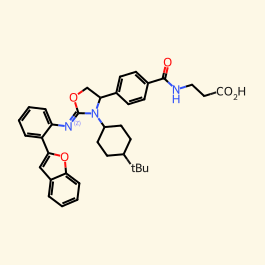 CC(C)(C)C1CCC(N2/C(=N/c3ccccc3-c3cc4ccccc4o3)OCC2c2ccc(C(=O)NCCC(=O)O)cc2)CC1